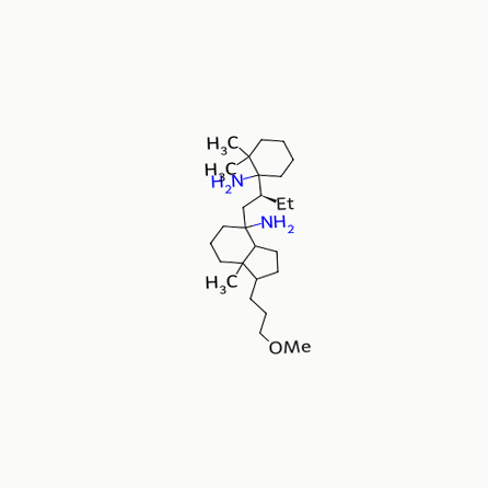 CC[C@@H](CC1(N)CCCC2(C)C(CCCOC)CCC12)C1(N)CCCCC1(C)C